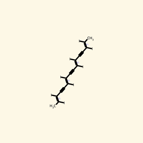 C/C(I)=C(\I)C#C/C(I)=C(\I)C#C/C(I)=C(\I)C#C/C(I)=C(/C)I